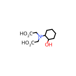 O=C(O)CN(CC(=O)O)C1CCCCC1O